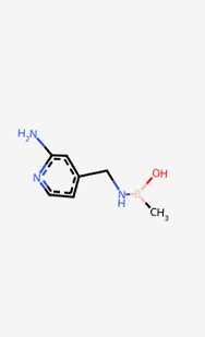 CB(O)NCc1ccnc(N)c1